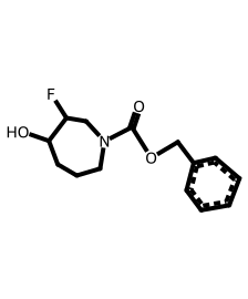 O=C(OCc1ccccc1)N1CCCC(O)C(F)C1